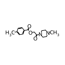 Cc1ccc(C(=O)OCC(=O)N2CCN(C)CC2)cc1